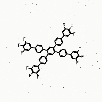 Fc1cc(-c2ccc(-c3cc(-c4ccc(-c5cc(F)c(F)c(F)c5)cc4)c(-c4ccc(-c5cc(F)c(F)c(F)c5)cc4)cc3-c3ccc(-c4cc(F)c(F)c(F)c4)cc3)cc2)cc(F)c1F